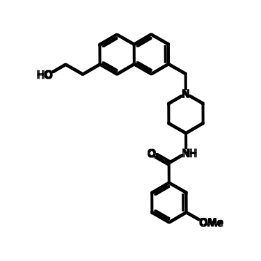 COc1cccc(C(=O)NC2CCN(Cc3ccc4ccc(CCO)cc4c3)CC2)c1